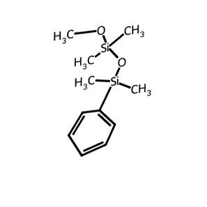 CO[Si](C)(C)O[Si](C)(C)c1ccccc1